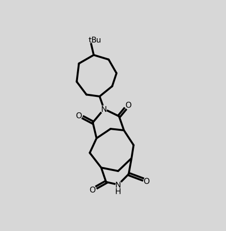 CC(C)(C)C1CCCC(N2C(=O)C3CC4CC(CC(C3)C2=O)C(=O)NC4=O)CCC1